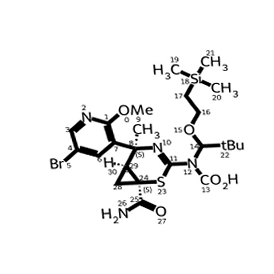 COc1ncc(Br)cc1[C@@]1(C)N=C(N(C(=O)O)C(OCC[Si](C)(C)C)C(C)(C)C)S[C@@]2(C(N)=O)C[C@H]21